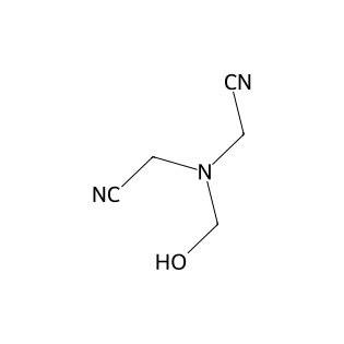 N#CCN(CO)CC#N